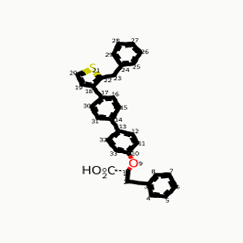 O=C(O)[C@@H](Cc1ccccc1)Oc1ccc(-c2ccc(-c3ccsc3Cc3ccccc3)cc2)cc1